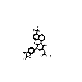 Cn1c(=O)oc2cc(-n3cc(OC(=O)O)c(=O)n(C4CCCc5c4cccc5C(F)(F)F)c3=O)ccc21